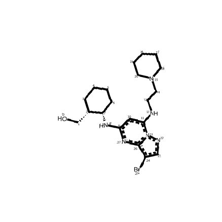 OC[C@@H]1CCCC[C@@H]1Nc1cc(NCCN2CCCCC2)n2ncc(Br)c2n1